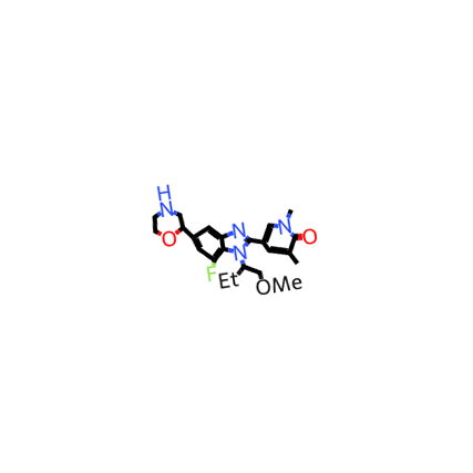 CCC(COC)n1c(-c2cc(C)c(=O)n(C)c2)nc2cc(C3CNCCO3)cc(F)c21